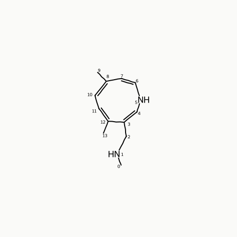 CNCc1c[nH]ccc(C)ccc1C